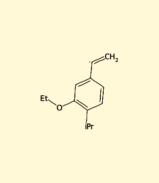 C=[C]c1ccc(C(C)C)c(OCC)c1